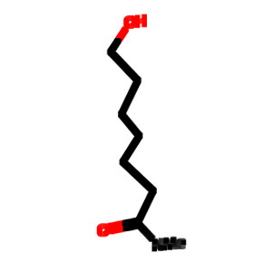 CNC(=O)CCCCCCO